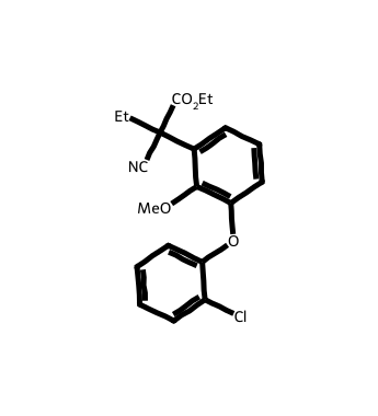 CCOC(=O)C(C#N)(CC)c1cccc(Oc2ccccc2Cl)c1OC